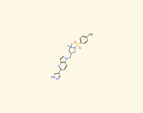 CC1(C)CC(Cn2ccc3nc(-c4cn[nH]c4)ccc32)CN1S(=O)(=O)c1ccc(C#N)cc1